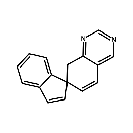 C1=CC2(C=Cc3cncnc3C2)c2ccccc21